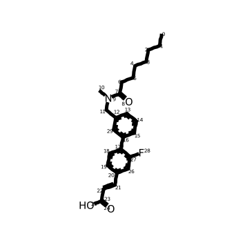 CCCCCCCC(=O)N(C)Cc1cccc(-c2ccc(C=CC(=O)O)cc2F)c1